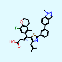 CC(C)=Cc1nc(-c2cccc(-c3ccc4c(cnn4C)c3)c2)sc1/C(=C/CC(=O)O)c1cc(F)c2c(c1C)CCCO2